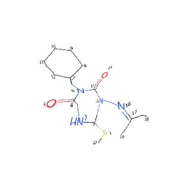 CSC1NC(=O)N(C2CCCCC2)C(=O)N1N=C(C)C